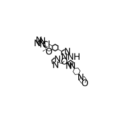 C[C@@H](Cn1cnnn1)Oc1cc(-c2cnc(Nc3cn([C@H]4CC[C@H](N5CCOCC5)CC4)nc3OCc3ncccn3)nc2)ccc1Cl